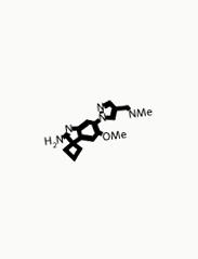 CNCc1cnn(-c2cc3c(cc2OC)C2(CCC2)C(N)=N3)c1